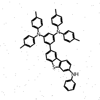 Cc1ccc(N(c2ccc(C)cc2)c2cc(-c3ccc4sc5cc(Nc6ccccc6)ccc5c4c3)cc(N(c3ccc(C)cc3)c3ccc(C)cc3)c2)cc1